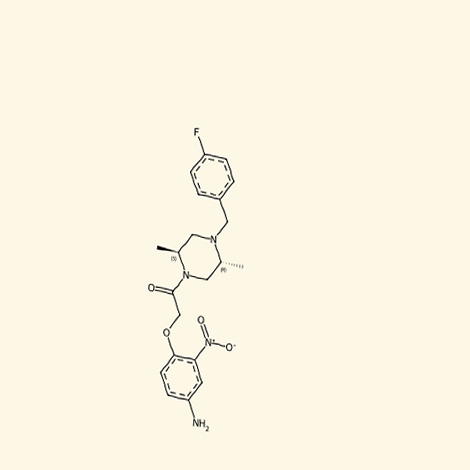 C[C@@H]1CN(C(=O)COc2ccc(N)cc2[N+](=O)[O-])[C@@H](C)CN1Cc1ccc(F)cc1